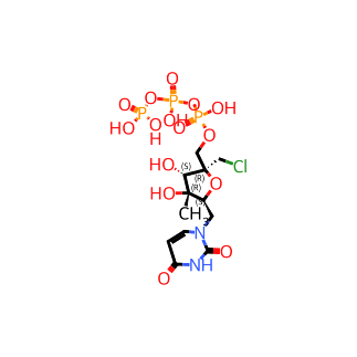 C[C@]1(O)[C@H](Cn2ccc(=O)[nH]c2=O)O[C@](CCl)(COP(=O)(O)OP(=O)(O)OP(=O)(O)O)[C@H]1O